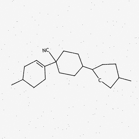 CC1CC=C(C2(C#N)CCC(C3CCC(C)CC3)CC2)CC1